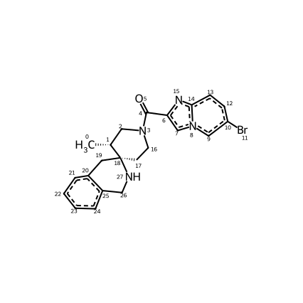 C[C@@H]1CN(C(=O)c2cn3cc(Br)ccc3n2)CC[C@]12Cc1ccccc1CN2